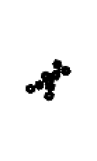 c1ccc(-c2ccc(N3c4cc(-c5ccccc5)ccc4B4c5ccc(N(c6ccccc6)c6ccccc6)cc5-c5cccc3c54)cc2)cc1